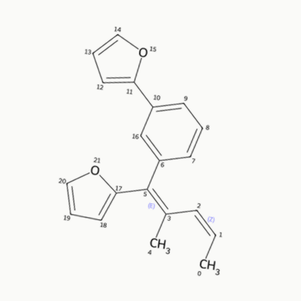 C/C=C\C(C)=C(/c1cccc(-c2ccco2)c1)c1ccco1